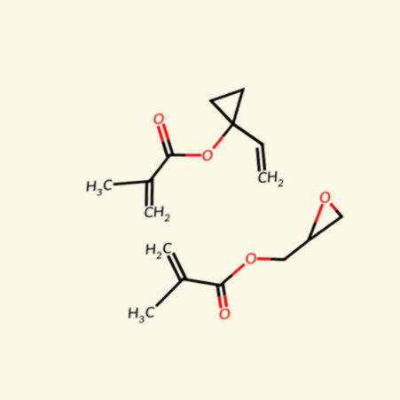 C=C(C)C(=O)OCC1CO1.C=CC1(OC(=O)C(=C)C)CC1